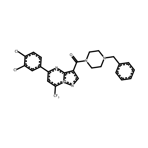 O=C(c1cnn2c(C(F)(F)F)cc(-c3ccc(Cl)c(Cl)c3)nc12)N1CCN(Cc2ccccc2)CC1